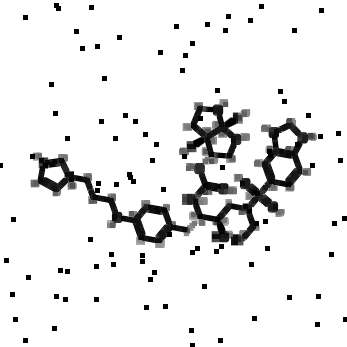 CC(C)CN(C[C@@H](O)[C@H](Cc1ccc(OCCCn2ccnc2)cc1)NC(=O)O[C@H]1CO[C@H]2OCC[C@H]21)S(=O)(=O)c1ccc2c(c1)OCO2